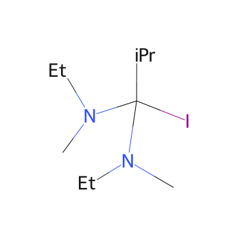 CCN(C)C(I)(C(C)C)N(C)CC